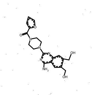 Nc1nc(N2CCN(C(=O)c3ccco3)CC2)nc2cc(CO)c(CO)cc12